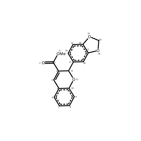 COC(=O)C1=Cc2ccccc2OC1c1ccc2c(c1)OCO2